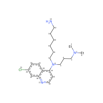 CCN(CC)CCCN(CCCCCCN)c1ccnc2cc(Cl)ccc12